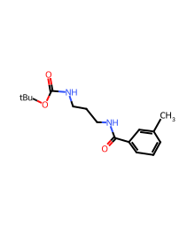 Cc1cccc(C(=O)NCCCNC(=O)OC(C)(C)C)c1